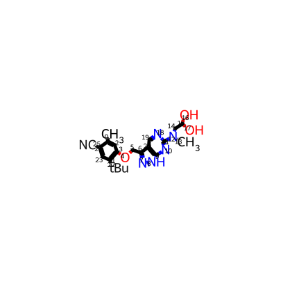 Cc1cc(OCc2n[nH]c3nc(N(C)CC(O)O)ncc23)c(C(C)(C)C)cc1C#N